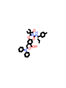 CCC[C@@H](NC(=O)N1C(=O)C(CC)(CC)[C@@H]1Oc1ccc(C(=O)O)c(CCN(c2ccccc2)c2ccccc2)c1)c1ccc(C)cc1